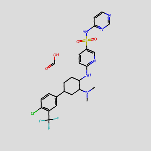 CN(C)C1CC(c2ccc(Cl)c(C(F)(F)F)c2)CCC1Nc1ccc(S(=O)(=O)Nc2ccncn2)cn1.O=CO